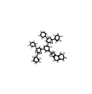 c1ccc(-c2cc(-c3cc(-c4cc(-c5ccccc5)nc(-c5ccccc5)n4)cc(-c4nc5c(ccc6ccccc65)o4)c3)nc(-c3ccccc3)n2)cc1